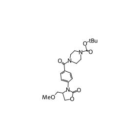 COCC1COC(=O)N1c1ccc(C(=O)N2CCN(C(=O)OC(C)(C)C)CC2)cc1